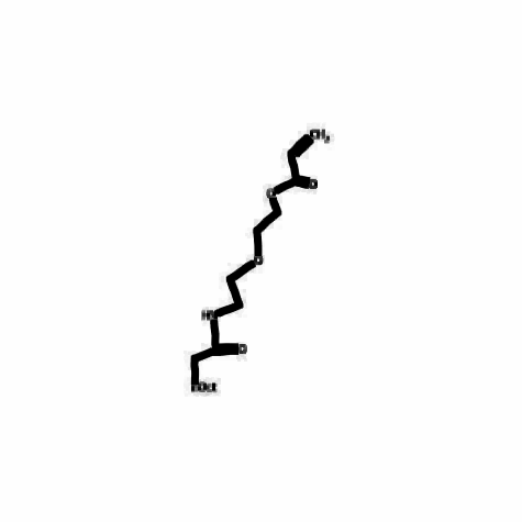 C=CC(=O)OCCOCCNC(=O)CCCCCCCCC